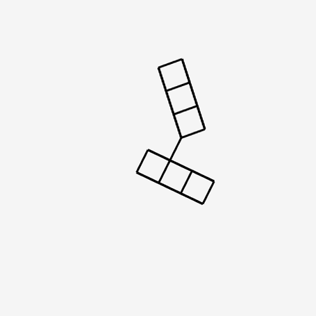 C12C3C4C1C1C2C3C41C12C3C4C5C3C1C5C42